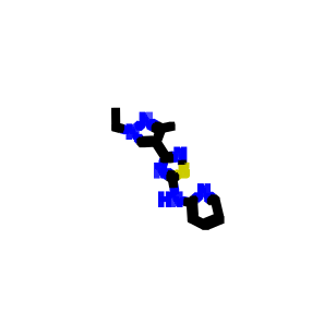 CCn1cc(-c2nsc(Nc3ccccn3)n2)c(C)n1